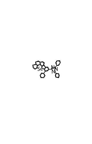 c1ccc(-c2nc(-c3ccccc3)nc(-c3cc(-c4ccccc4)c4[se]c5c(ccc6ccc7ccccc7c65)c4c3)n2)cc1